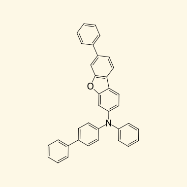 c1ccc(-c2ccc(N(c3ccccc3)c3ccc4c(c3)oc3cc(-c5ccccc5)ccc34)cc2)cc1